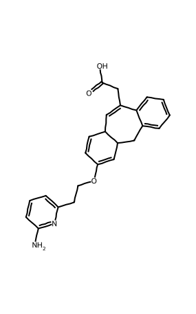 Nc1cccc(CCOC2=CC3Cc4ccccc4C(CC(=O)O)=CC3C=C2)n1